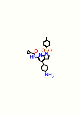 Cc1ccc(S(=O)(=O)n2ccc3c(C4CCC(N)CC4)cc(NC(=O)C4CC4)nc32)cc1